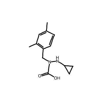 Cc1ccc(CN(NC2CC2)C(=O)O)c(C)c1